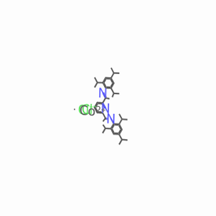 CC(=Nc1c(C(C)C)cc(C(C)C)cc1C(C)C)c1cccc(C(C)=Nc2c(C(C)C)cc(C(C)C)cc2C(C)C)n1.[Cl-].[Cl-].[Co+2]